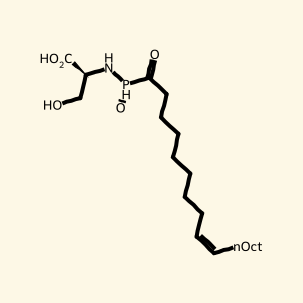 CCCCCCCC/C=C\CCCCCCCC(=O)[PH](=O)N[C@@H](CO)C(=O)O